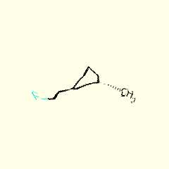 C[C@H]1C[C@@H]1CF